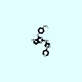 N[C@H]1CC[C@H](Oc2nc(Nc3cnn(C4CCOCC4)c3)nc3cc[nH]c23)CC1